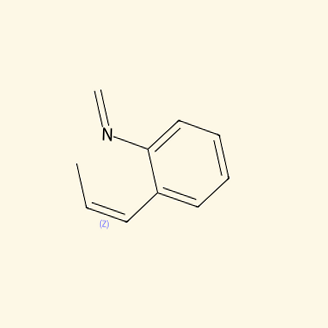 C=Nc1ccccc1/C=C\C